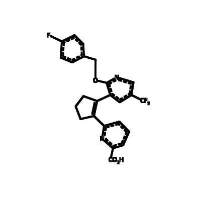 O=C(O)c1cccc(C2=C(c3cc(C(F)(F)F)cnc3OCc3ccc(F)cc3)CCC2)n1